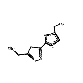 CC(C)(C)CC1=NN=C(c2nc(CS)cs2)C1